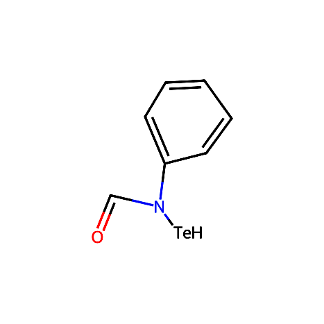 O=CN([TeH])c1ccccc1